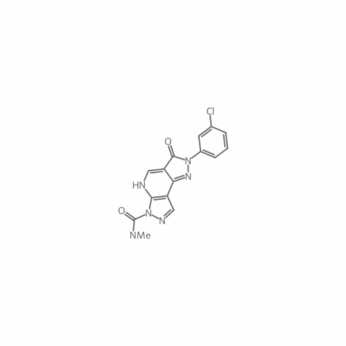 CNC(=O)n1ncc2c3nn(-c4cccc(Cl)c4)c(=O)c-3c[nH]c21